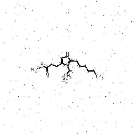 CCCCCCc1[nH]cc(CCC(=O)OC)[n+]1CC.[Br-]